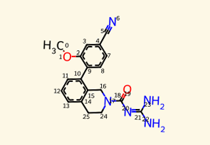 COc1cc(C#N)ccc1-c1cccc2c1CN(C(=O)N=C(N)N)CC2